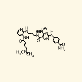 CCCNc1nc(Nc2ccc(C(N)=O)cc2)ncc1C(=O)NCCCNc1ncccc1NC(=O)/C=C/CN(C)C